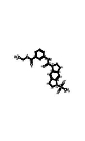 CCOC(=O)c1cccc(NC(=O)N2CCc3cc4c(cc32)CCN4S(C)(=O)=O)c1